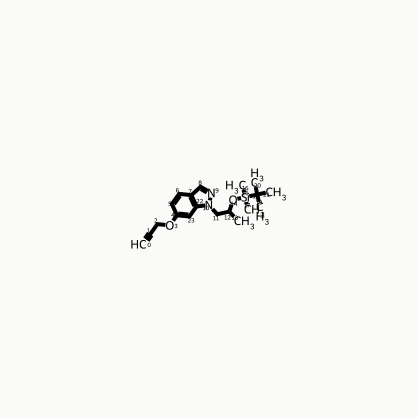 C#CCOc1ccc2cnn(CC(C)O[Si](C)(C)C(C)(C)C)c2c1